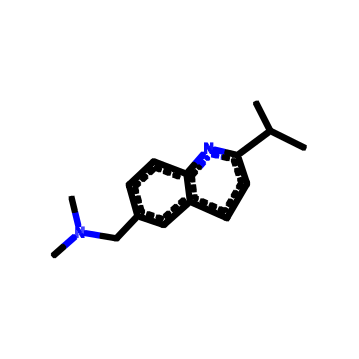 CC(C)c1ccc2cc(CN(C)C)ccc2n1